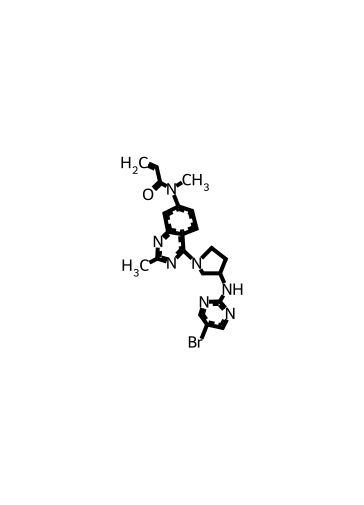 C=CC(=O)N(C)c1ccc2c(N3CCC(Nc4ncc(Br)cn4)C3)nc(C)nc2c1